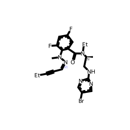 CCC#C/C=N\N(C)c1c(F)cc(F)cc1C(=O)N(CC)[C@@H](C)CNc1ncc(Br)cn1